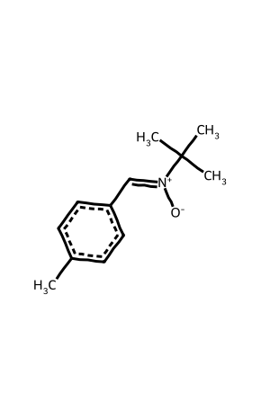 Cc1ccc(C=[N+]([O-])C(C)(C)C)cc1